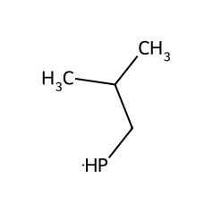 CC(C)C[PH]